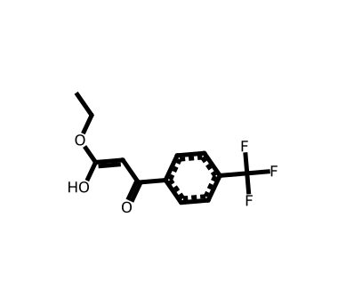 CCO/C(O)=C/C(=O)c1ccc(C(F)(F)F)cc1